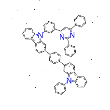 c1ccc(-c2cc(-c3cccc(-n4c5ccccc5c5ccc(-c6ccc(-c7ccc8c9ccccc9n(-c9ccccc9)c8c7)cc6)cc54)c3)nc(-c3ccccc3)n2)cc1